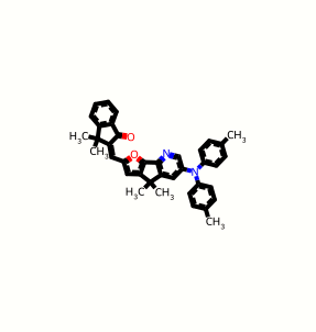 Cc1ccc(N(c2ccc(C)cc2)c2cnc3c(c2)C(C)(C)c2cc(/C=C4\C(=O)c5ccccc5C4(C)C)oc2-3)cc1